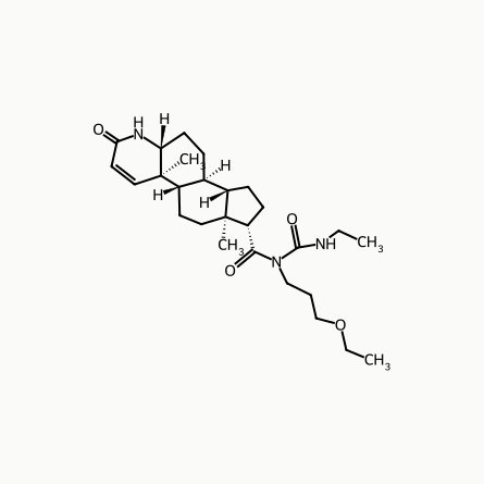 CCNC(=O)N(CCCOCC)C(=O)[C@H]1CC[C@H]2[C@@H]3CC[C@H]4NC(=O)C=C[C@]4(C)[C@H]3CC[C@]12C